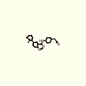 Cc1ccccc1-c1ccc2ncnc(Nc3ccc(CC#N)cc3)c2c1